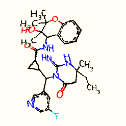 CC[C@]1(C)CC(=O)N(C(c2cncc(F)c2)C2C[C@H]2C(=O)N[C@@H]2c3ccccc3OC(C)(C)C2(C)O)C(=N)N1